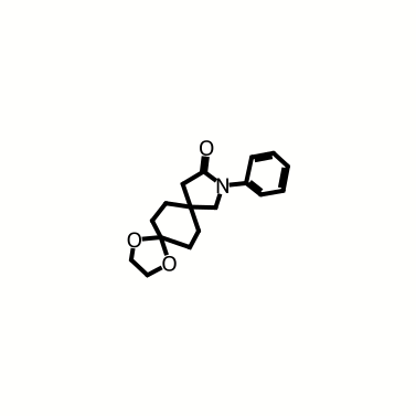 O=C1CC2(CCC3(CC2)OCCO3)CN1c1ccccc1